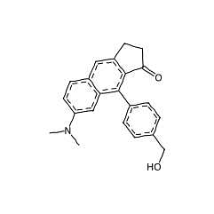 CN(C)c1ccc2cc3c(c(-c4ccc(CO)cc4)c2c1)C(=O)CC3